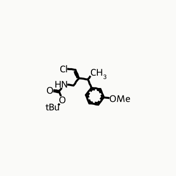 COc1cccc(C(C)C(=CCl)CNC(=O)OC(C)(C)C)c1